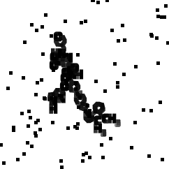 CC(C)c1ccccc1[C@H]1CCCN1C1CC2(CCN(c3ccc(C(=O)NS(=O)(=O)c4cnc(NCC5CCOCC5)c([N+](=O)[O-])c4)c(Oc4cnc5[nH]ccc5c4)c3)CC2)C1